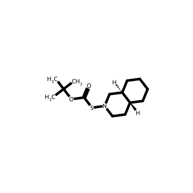 CC(C)(C)OC(=O)SN1CC[C@H]2CCCC[C@@H]2C1